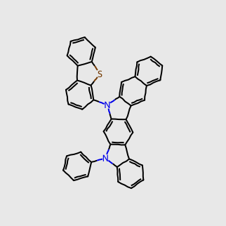 c1ccc(-n2c3ccccc3c3cc4c5cc6ccccc6cc5n(-c5cccc6c5sc5ccccc56)c4cc32)cc1